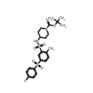 Cc1ccc(S(=O)(=O)c2ccc(F)cc2)cc1S(=O)(=O)NC1CCN(C(=O)OC(C)(C)C)CC1